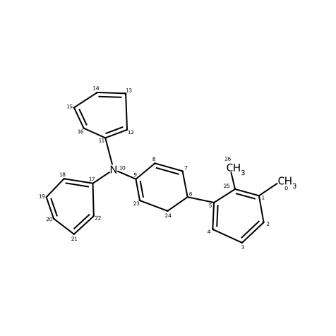 Cc1cccc(C2C=CC(N(c3ccccc3)c3ccccc3)=CC2)c1C